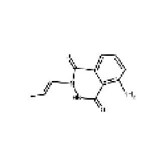 CC=Cn1[nH]c(=O)c2c(N)cccc2c1=O